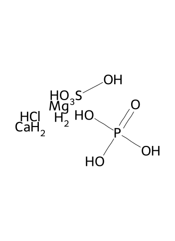 Cl.O=P(O)(O)O.O=S(=O)(O)O.[CaH2].[MgH2]